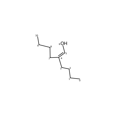 CCCCC(=CO)CCCC